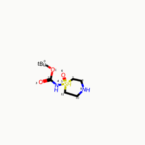 CC(C)(C)OC(=O)N[SH]1(=O)CCNCC1